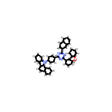 c1ccc2cc(-c3nc(-c4ccc(-n5c6ccccc6c6ccc7ccccc7c65)cc4)nc(-c4cccc5oc6ccccc6c45)n3)ccc2c1